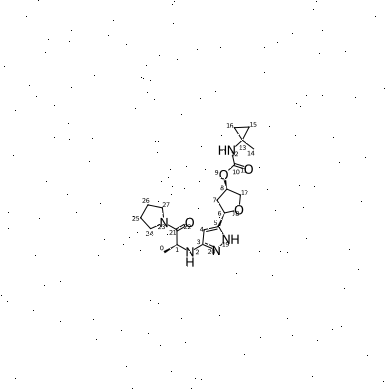 C[C@H](Nc1cc([C@H]2C[C@@H](OC(=O)NC3(C)CC3)CO2)[nH]n1)C(=O)N1CCCC1